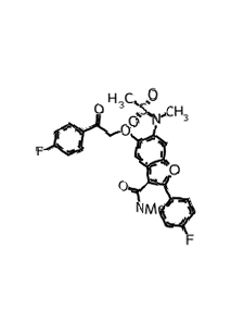 CNC(=O)c1c(-c2ccc(F)cc2)oc2cc(N(C)S(C)(=O)=O)c(OCC(=O)c3ccc(F)cc3)cc12